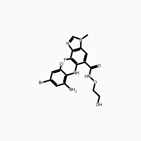 Bc1cc(Br)cc(Cl)c1Nc1c(C(=O)NOCCO)cc2c(ncn2C)c1F